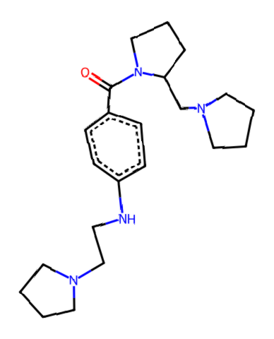 O=C(c1ccc(NCCN2CCCC2)cc1)N1CCCC1CN1CCCC1